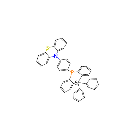 c1ccc([Si]2(c3ccccc3)c3ccccc3P(c3ccc(N4c5ccccc5Sc5ccccc54)cc3)c3ccccc32)cc1